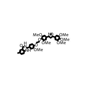 COc1cc(C2NC(=O)c3cc(C)ccc3N2)ccc1OCCOc1c(OC)cc(C2=NOC(c3cc(OC)c(OC)c(OC)c3)C2)cc1OC